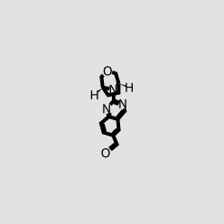 O=Cc1ccc2nc(N3[C@@H]4CC[C@H]3COC4)ncc2c1